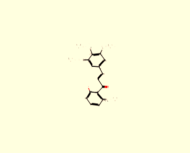 COc1cc(C=CC(=O)c2c(O)cccc2OC)cc(OC)c1OC